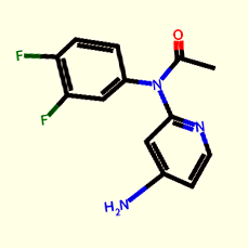 CC(=O)N(c1ccc(F)c(F)c1)c1cc(N)ccn1